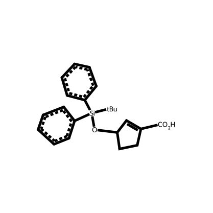 CC(C)(C)[Si](OC1C=C(C(=O)O)CC1)(c1ccccc1)c1ccccc1